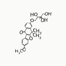 COc1ccc2c3c(oc2c1)C(C)(C)c1cc(OCC(O)[C@H](O)CO)ccc1C3=O